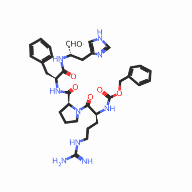 N=C(N)NCCC[C@H](NC(=O)OCc1ccccc1)C(=O)N1CCC[C@H]1C(=O)N[C@@H](Cc1ccccc1)C(=O)N[C@H]([C]=O)Cc1c[nH]cn1